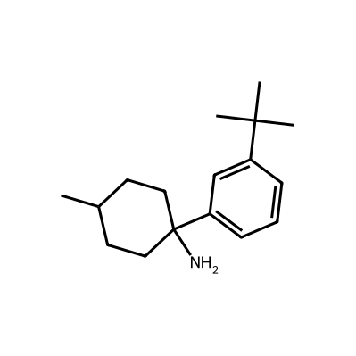 CC1CCC(N)(c2cccc(C(C)(C)C)c2)CC1